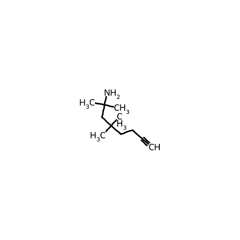 C#CCCC(C)(C)CC(C)(C)N